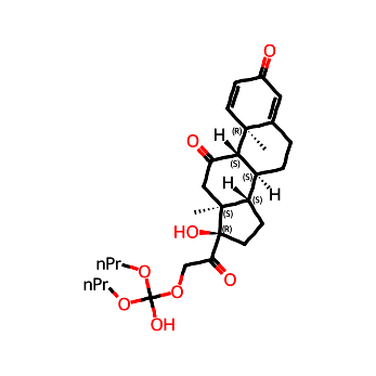 CCCOC(O)(OCCC)OCC(=O)[C@@]1(O)CC[C@H]2[C@@H]3CCC4=CC(=O)C=C[C@]4(C)[C@H]3C(=O)C[C@@]21C